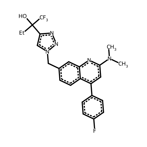 CCC(O)(c1cn(Cc2ccc3c(-c4ccc(F)cc4)cc(N(C)C)nc3c2)nn1)C(F)(F)F